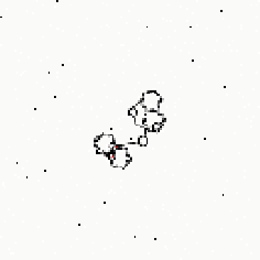 c1cc2c3cccc(c3c1)OCC(OC1COc3cccc4c(cccc34)O1)O2